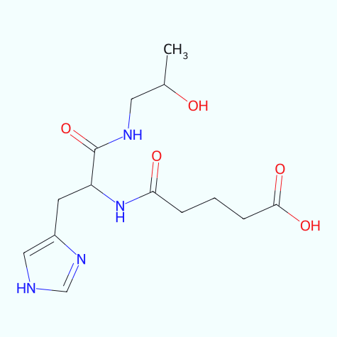 CC(O)CNC(=O)C(Cc1c[nH]cn1)NC(=O)CCCC(=O)O